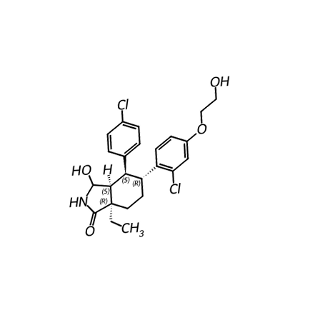 CC[C@@]12CC[C@@H](c3ccc(OCCO)cc3Cl)[C@H](c3ccc(Cl)cc3)[C@@H]1C(O)NC2=O